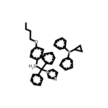 CCCCOc1ccc([SiH2]C(c2ccccc2)(c2ccccc2)n2ccnc2)cc1.c1ccc(B(c2ccccc2)C2CC2)cc1